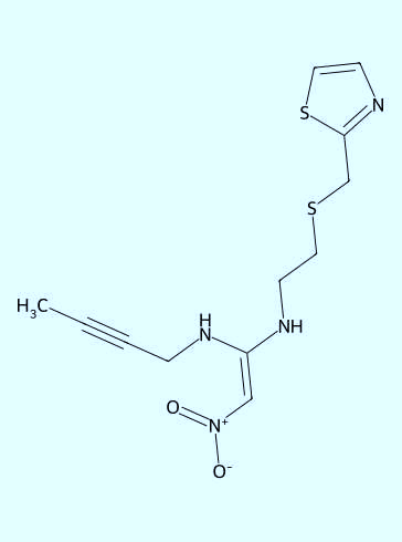 CC#CCNC(=C[N+](=O)[O-])NCCSCc1nccs1